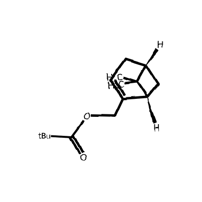 CC(C)(C)C(=O)OCC1=CC[C@@H]2C[C@H]1C2(C)C